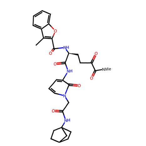 CNC(=O)C(=O)CC[C@H](NC(=O)c1oc2ccccc2c1C)C(=O)Nc1cccn(CC(=O)NC23CCC(CC2)C3)c1=O